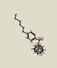 CCCCCCc1ccc(C(=O)[C]23[CH]4[CH]5[CH]6[CH]2[Fe]56432789[CH]3[CH]2[CH]7[CH]8[CH]39)cc1